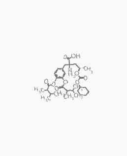 CC(C)C(C)C(=O)Oc1ccc(CC(N)(C[C@H](C)OC(=O)OC2CCCCC2)C(=O)O)cc1OC(=O)C(C)C(C)C